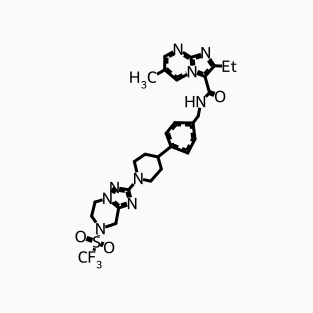 CCc1nc2ncc(C)cn2c1C(=O)NCc1ccc(C2CCN(c3nc4n(n3)CCN(S(=O)(=O)C(F)(F)F)C4)CC2)cc1